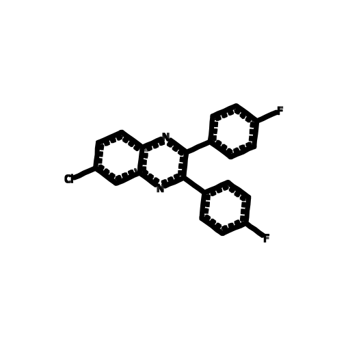 Fc1ccc(-c2nc3ccc(Cl)cc3nc2-c2ccc(F)cc2)cc1